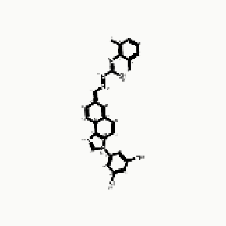 Cc1cccc(C)c1N=C(S)N=NC=C1C=CC2C(=C1)C=Cc1c2ncn1-c1cc(Cl)cc(Cl)c1